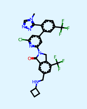 Cn1cnnc1-c1ccc(C(F)(F)F)cc1-c1cc(Cl)nc(N2Cc3c(cc(CNC4CCC4)cc3C(F)(F)F)C2=O)c1